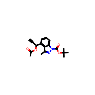 C#CC(OC(C)=O)c1cccc2c1c(C)nn2C(=O)OC(C)(C)C